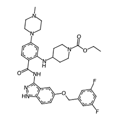 CCOC(=O)N1CCC(Nc2cc(N3CCN(C)CC3)ccc2C(=O)Nc2n[nH]c3ccc(OCc4cc(F)cc(F)c4)cc23)CC1